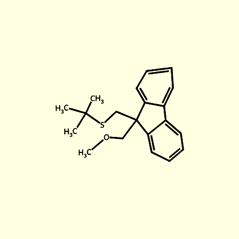 COCC1(CSC(C)(C)C)c2ccccc2-c2ccccc21